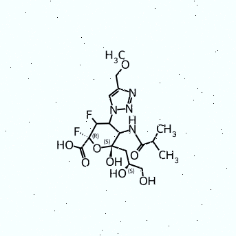 COCc1cn(C2C(F)[C@](F)(C(=O)O)O[C@@](O)(C[C@H](O)CO)C2NC(=O)C(C)C)nn1